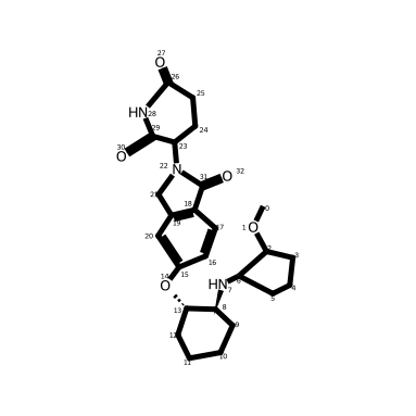 COC1CCCC1N[C@H]1CCCC[C@@H]1Oc1ccc2c(c1)CN(C1CCC(=O)NC1=O)C2=O